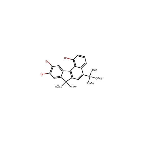 CCCCCCCCC1(CCCCCCCC)c2cc(Br)c(Br)cc2-c2c1cc([Si](OC)(OC)OC)c1cccc(Br)c21